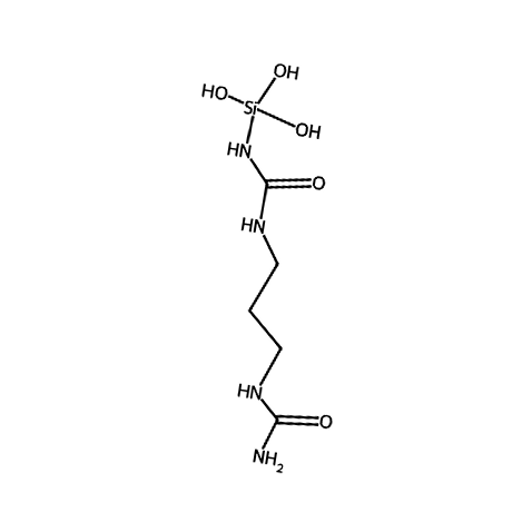 NC(=O)NCCCNC(=O)N[Si](O)(O)O